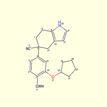 COc1ccc(C2(C#N)CCc3[nH]ccc3C2)cc1OC1CCCC1